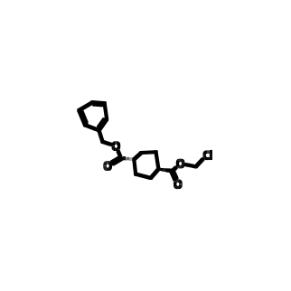 O=C(OCCl)[C@H]1CC[C@H](C(=O)OCc2ccccc2)CC1